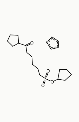 O=C(CCCCCS(=O)(=O)OC1CCCC1)C1CCCC1.c1ccsc1